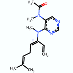 C=C/C(=C\CC=C(C)C)N(C)c1ncncc1N(C)C(C)=O